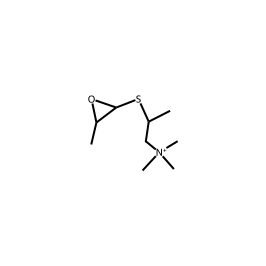 CC(C[N+](C)(C)C)SC1OC1C